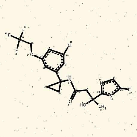 C[C@@](O)(CC(=O)NC1(c2cc(Cl)cc(OCC(F)(F)F)c2)CC1)c1ncc(Cl)s1